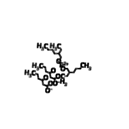 CCCC(=O)CC(=O)[O-].CCCC(=O)CC(=O)[O-].CCCCC(CC)C[O][Ti+2][O]CC(CC)CCCC